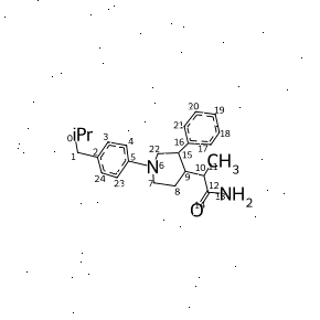 CC(C)Cc1ccc(N2CCC(C(C)C(N)=O)C(c3ccccc3)C2)cc1